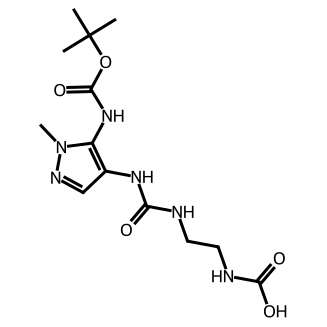 Cn1ncc(NC(=O)NCCNC(=O)O)c1NC(=O)OC(C)(C)C